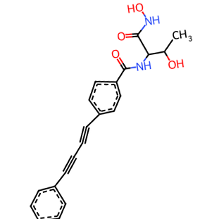 CC(O)C(NC(=O)c1ccc(C#CC#Cc2ccccc2)cc1)C(=O)NO